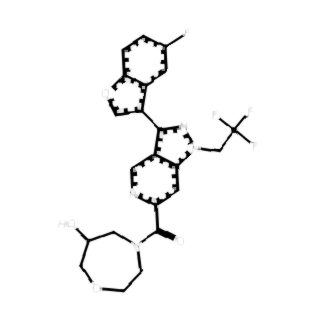 O=C(c1cc2c(cn1)c(-c1coc3ccc(F)cc13)nn2CC(F)(F)F)N1CCOCC(O)C1